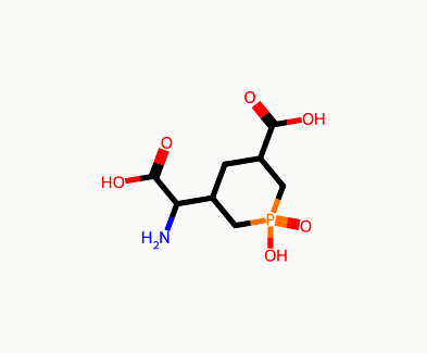 NC(C(=O)O)C1CC(C(=O)O)CP(=O)(O)C1